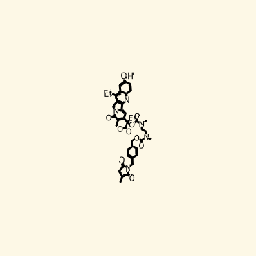 CCc1c2c(nc3ccc(O)cc13)-c1cc3c(c(=O)n1C2)COC(=O)C3(CC)OC(=O)N(C)CCN(C)C(=O)OCc1ccc(CN2C(=O)CC(C)C2=O)cc1